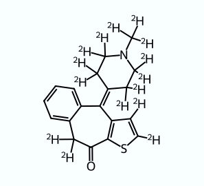 [2H]c1sc2c(c1[2H])C(=C1C([2H])([2H])C([2H])([2H])N(C([2H])([2H])[2H])C([2H])([2H])C1([2H])[2H])c1ccccc1C([2H])([2H])C2=O